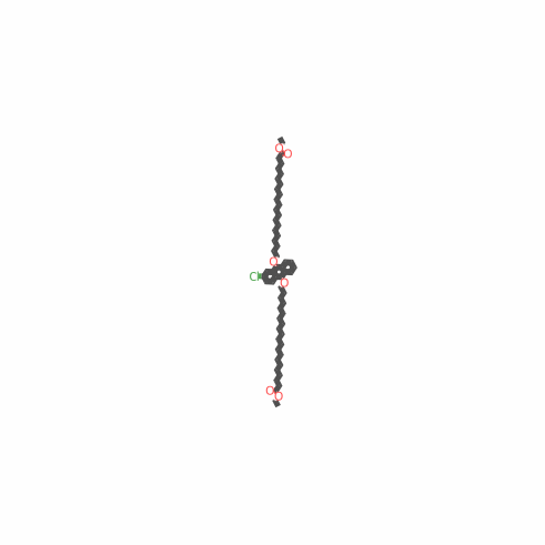 CCOC(=O)CCCCCCCCCCCCCCCCCCCCOc1c2ccccc2c(OCCCCCCCCCCCCCCCCCCCCC(=O)OCC)c2cc(Cl)ccc12